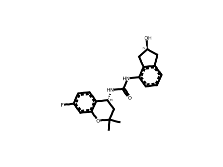 CC1(C)C[C@@H](NC(=O)Nc2cccc3c2C[C@@H](O)C3)c2ccc(F)cc2O1